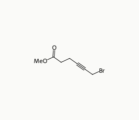 COC(=O)CCC#CCBr